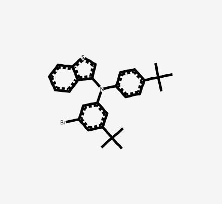 CC(C)(C)c1ccc(N(c2cc(Br)cc(C(C)(C)C)c2)c2csc3ccccc23)cc1